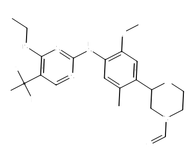 CCNc1nc(Nc2cc(C)c(C3CN(C=O)CCO3)cc2OC)ncc1C(F)(F)F